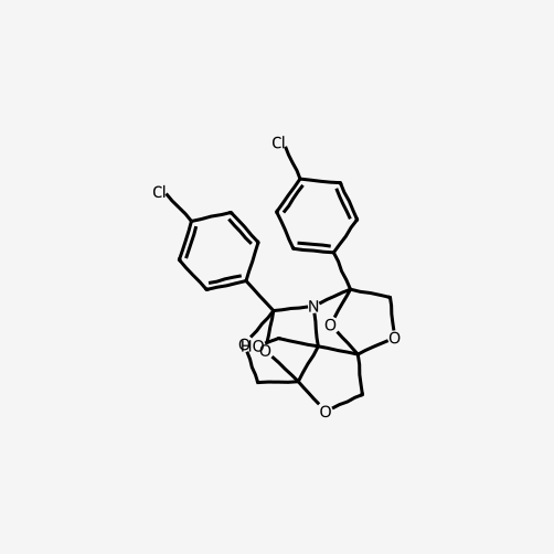 OCC12N3C4(c5ccc(Cl)cc5)COC1(COC21COC3(c2ccc(Cl)cc2)O1)O4